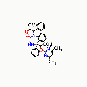 COC(=O)C(c1ccccc1)N1C(=O)CN[C@](c2ccccc2)([C@H](Oc2nc(C)cc(C)n2)C(=O)O)c2ccccc21